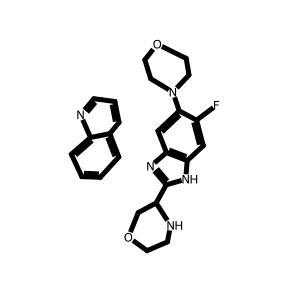 Fc1cc2[nH]c(C3COCCN3)nc2cc1N1CCOCC1.c1ccc2ncccc2c1